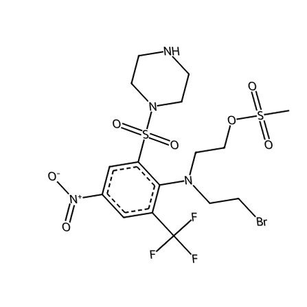 CS(=O)(=O)OCCN(CCBr)c1c(C(F)(F)F)cc([N+](=O)[O-])cc1S(=O)(=O)N1CCNCC1